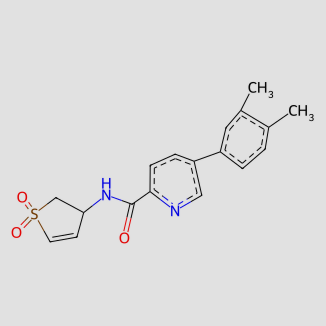 Cc1ccc(-c2ccc(C(=O)NC3C=CS(=O)(=O)C3)nc2)cc1C